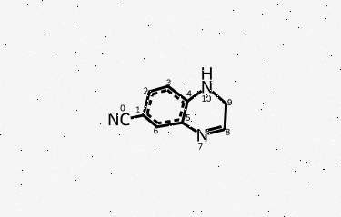 N#Cc1ccc2c(c1)N=CCN2